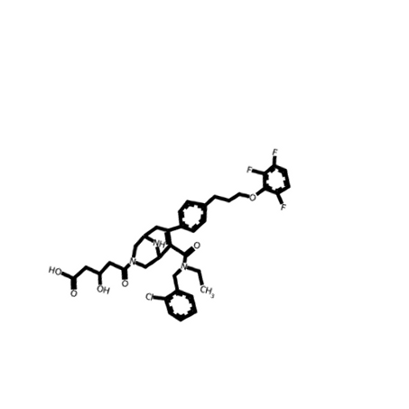 CCN(Cc1ccccc1Cl)C(=O)C1=C(c2ccc(CCCOc3c(F)ccc(F)c3F)cc2)CC2CN(C(=O)CC(O)CC(=O)O)CC1N2